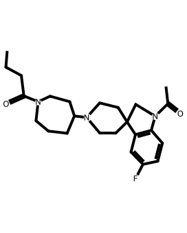 CCCC(=O)N1CCCC(N2CCC3(CC2)CN(C(C)=O)c2ccc(F)cc23)CC1